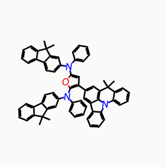 CC1(C)c2ccccc2-c2ccc(N(c3ccccc3)c3cc(-c4cc5c6c(c4)c4ccccc4n6-c4ccccc4C5(C)C)c(N(c4ccccc4)c4ccc5c(c4)C(C)(C)c4ccccc4-5)o3)cc21